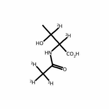 [2H]C([2H])([2H])C(=O)NC([2H])(C(=O)O)C([2H])(C)O